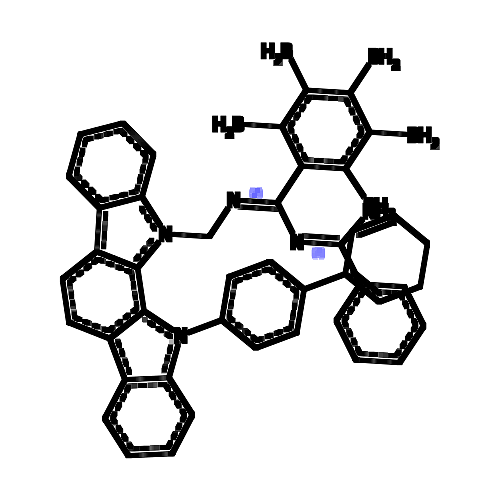 Bc1c(B)c(B)c(C(/N=C(\N)c2ccccc2)=N/Cn2c3ccccc3c3ccc4c5ccccc5n(-c5ccc(C6=CCCC=C6)cc5)c4c32)c(B)c1B